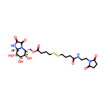 O=C(CCCSSCCCC(=O)OC[C@@H]1[C@@H](O)[C@H](O)[C@H](O)[C@H]2NC(=O)C(=O)N12)NCCN1C(=O)CCC1=O